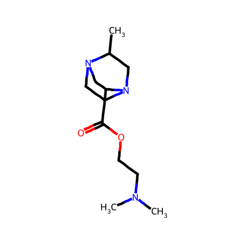 CC1CN2CCN1CC2C(=O)OCCN(C)C